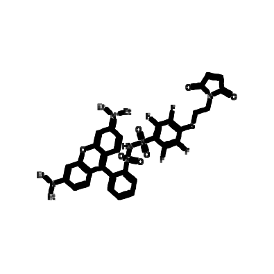 CCN(CC)c1ccc2c(-c3ccccc3S(=O)(=O)NS(=O)(=O)c3c(F)c(F)c(SCCN4C(=O)C=CC4=O)c(F)c3F)c3ccc(=[N+](CC)CC)cc-3oc2c1